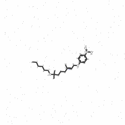 CCCCCCOC(C)(C)CCC/C(C)=C/COc1ccc([N+](=O)[O-])cc1